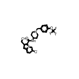 CCc1cc2ccc(Cl)cn2c1C(=O)NC1CCN(Cc2ccc(OC(F)(F)F)cc2)CC1